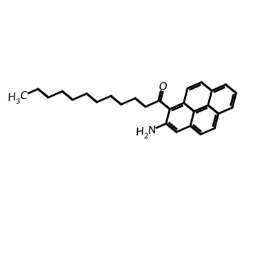 CCCCCCCCCCCC(=O)c1c(N)cc2ccc3cccc4ccc1c2c34